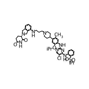 Cc1cc(Nc2ncc(Cl)c(Nc3ccccc3S(=O)(=O)C(C)C)n2)c(OC(C)C)cc1C1CCN(CCCNc2cccc3c2CN(C2CCC(=O)NC2=O)C3)CC1